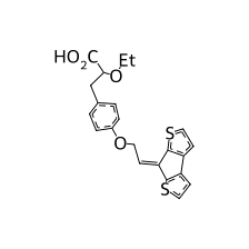 CCOC(Cc1ccc(OCC=C2c3sccc3-c3ccsc32)cc1)C(=O)O